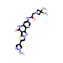 Cn1cc(-c2cn3nc4c5ncc(NC(=O)CN6CC(C)(C)C6)cc5[nH]c(=O)c4c3s2)cn1